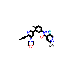 CC#Cc1ncc(-c2cc(NC(=O)c3cc(C(C)C)ncc3F)ccc2C)cc1N1CCOCC1